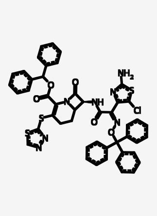 Nc1nc(/C(=N/OC(c2ccccc2)(c2ccccc2)c2ccccc2)C(=O)N[C@@H]2C(=O)N3C(C(=O)OC(c4ccccc4)c4ccccc4)=C(Sc4nncs4)CCC23)c(Cl)s1